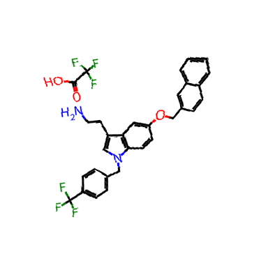 NCCc1cn(Cc2ccc(C(F)(F)F)cc2)c2ccc(OCc3ccc4ccccc4c3)cc12.O=C(O)C(F)(F)F